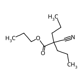 CCCOC(=O)C(C#N)(CCC)CCC